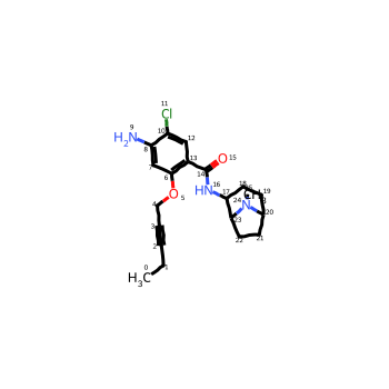 CCC#CCOc1cc(N)c(Cl)cc1C(=O)NC1CCC2CCC1N2C